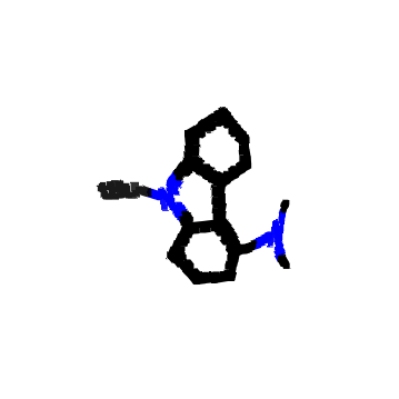 CN(C)c1cccc2c1c1ccccc1n2C(C)(C)C